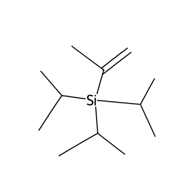 C=C(C)[Si](C(C)C)(C(C)C)C(C)C